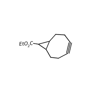 CCOC(=O)C1C2CCC#CCCC21